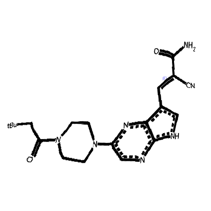 CC(C)(C)CC(=O)N1CCN(c2cnc3[nH]cc(/C=C(\C#N)C(N)=O)c3n2)CC1